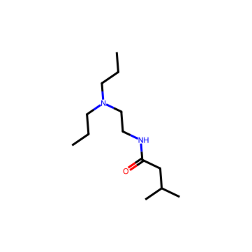 CCCN(CCC)CCNC(=O)CC(C)C